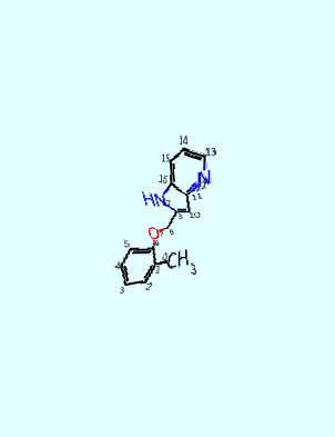 Cc1ccccc1OCc1cc2ncccc2[nH]1